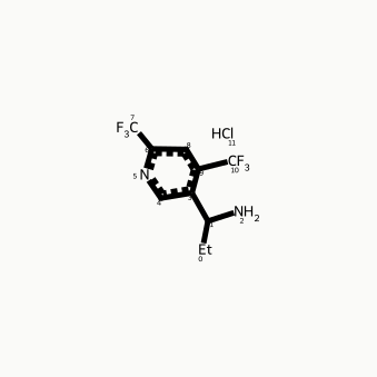 CCC(N)c1cnc(C(F)(F)F)cc1C(F)(F)F.Cl